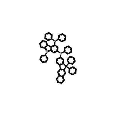 c1ccc(N(c2ccc3c(c2)C(c2ccccc2)(c2ccccc2)c2cc4ccccc4cc2-3)c2cc(N(c3ccccc3)c3ccccc3)c3c4ccccc4n(-c4ccccc4)c3c2)cc1